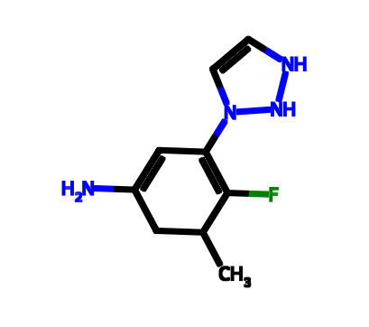 CC1CC(N)=CC(N2C=CNN2)=C1F